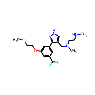 CNCCN(C)Cc1c[nH]nc1-c1cc(OCCOC)cc(C(F)F)c1